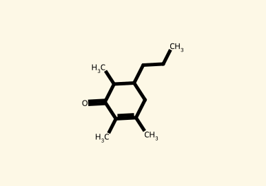 CCCC1CC(C)=C(C)C(=O)C1C